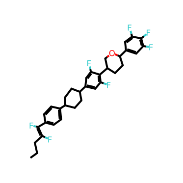 CCC/C(F)=C(\F)c1ccc(C2CCC(c3cc(F)c(C4CCC(c5cc(F)c(F)c(F)c5)OC4)c(F)c3)CC2)cc1